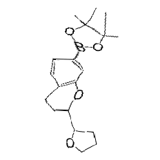 CC1(C)OB(c2ccc3c(c2)OC(C2CCCO2)CC3)OC1(C)C